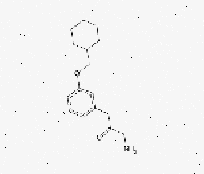 NCC(=O)Cc1cccc(OCC2CCCCC2)c1